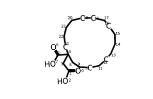 O=C(O)CC1(C(=O)O)CCCCCCCCCCCCCCCC1